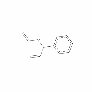 C=C[CH]C(C=C)c1ccccc1